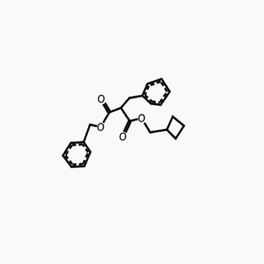 O=C(OCc1ccccc1)C(Cc1ccccc1)C(=O)OCC1CCC1